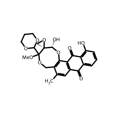 COC1(C2OCCCO2)OCc2c(C)cc3c(c2O[C@@H](O)[C@@]12CO2)C(=O)c1c(O)cccc1C3=O